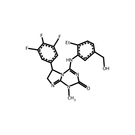 CCc1ccc(CO)cc1NC1=NC(=O)N(C)C2=NCC(c3cc(F)c(F)c(F)c3)N12